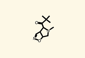 CN1CC2ON=CC2C1C(=O)C(C)(C)C